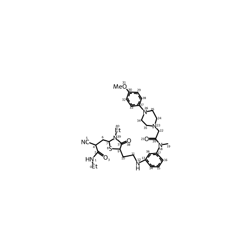 CCNC(=O)C(C#N)CC1SC(CCNc2cccc(N(C)C(=O)CN3CCN(c4ccc(OC)cc4)CC3)c2)C(=O)N1CC